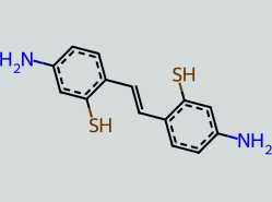 Nc1ccc(/C=C/c2ccc(N)cc2S)c(S)c1